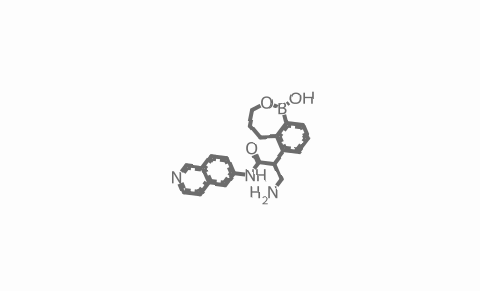 NCC(C(=O)Nc1ccc2cnccc2c1)c1cccc2c1CCCOB2O